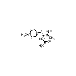 CC(=O)N[C@H](CN1CCN(C)CC1)C(C)C